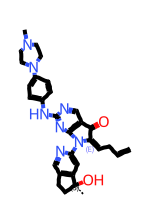 C=CC/C=C1\C(=O)c2cnc(Nc3ccc(N4CCN(C)CC4)cc3)nc2N1c1cc2c(cn1)CC[C@]2(C)O